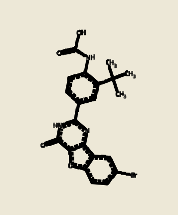 CC(C)(C)c1cc(-c2nc3c(oc4ccc(Br)cc43)c(=O)[nH]2)ccc1NC(=O)O